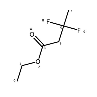 CCOC(=O)CC(C)(F)F